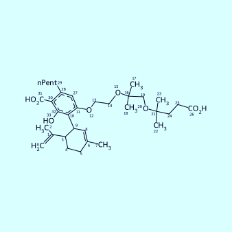 C=C(C)C1CCC(C)=CC1c1c(OCCOC(C)(C)COC(C)(C)CCC(=O)O)cc(CCCCC)c(C(=O)O)c1O